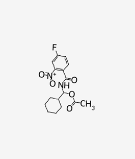 CC(=O)OC(NC(=O)c1ccc(F)cc1[N+](=O)[O-])C1CCCCC1